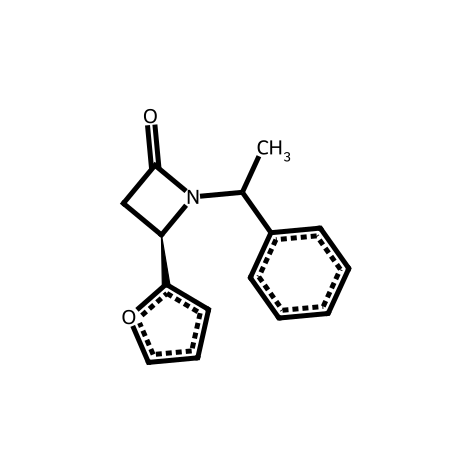 CC(c1ccccc1)N1C(=O)C[C@@H]1c1ccco1